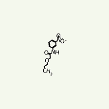 CCCOCC(=O)Nc1cccc([N+](=O)[O-])c1